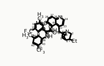 CCC1CN2CCC1CC2[C@H](OC(=O)Nc1cc(C)cc(C(F)(F)F)c1)c1ccnc2ccc(OC)c(NC(=O)Nc3cc(C)cc(C(F)(F)F)c3)c12